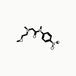 COCCN(C)CC(=O)N(C)c1ccc([N+](=O)[O-])cc1